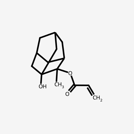 C=CC(=O)OC1(C)C2CC3CC(C2)CC1(O)C3